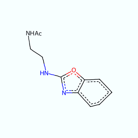 CC(=O)NCCNc1nc2ccccc2o1